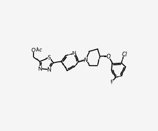 CC(=O)OCc1nnc(-c2ccc(N3CCC(Oc4cc(F)ccc4Cl)CC3)nc2)s1